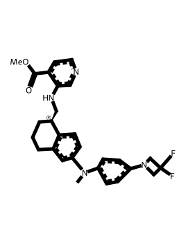 COC(=O)c1ccncc1NC[C@@H]1CCCc2cc(N(C)c3ccc(N4CC(F)(F)C4)cc3)ccc21